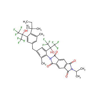 CCC(C)(C)c1c(C)cc(Cc2cc(C)c(-n3c(=O)c4cc5c(=O)n(C(C)C)c(=O)c5cc4c3=O)c(C(O)(C(F)(F)F)C(F)(F)F)c2)cc1C(O)(C(F)(F)F)C(F)(F)F